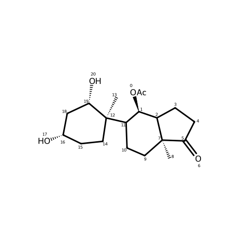 CC(=O)O[C@H]1C2CCC(=O)[C@@]2(C)CCC1[C@@]1(C)CC[C@H](O)C[C@@H]1O